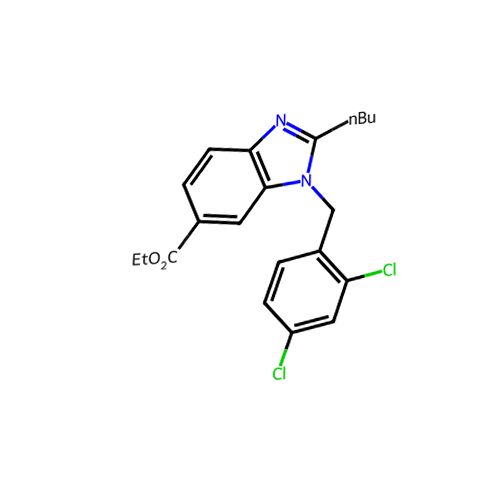 CCCCc1nc2ccc(C(=O)OCC)cc2n1Cc1ccc(Cl)cc1Cl